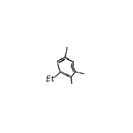 [CH2]Cc1cc(C)cc(C)c1C